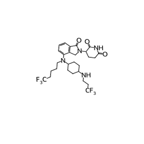 O=C1CCC(N2Cc3c(cccc3N(CCCCC(F)(F)F)C3CCC(NCCC(F)(F)F)CC3)C2=O)C(=O)N1